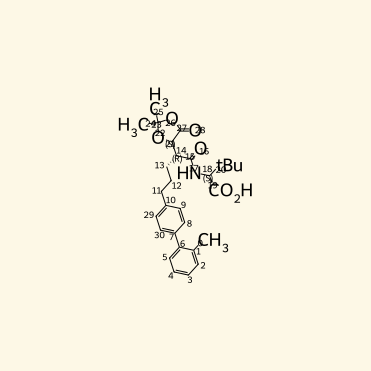 Cc1ccccc1-c1ccc(CCC[C@@H](C(=O)N[C@H](C(=O)O)C(C)(C)C)[C@@H]2OC(C)(C)OC2=O)cc1